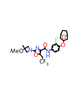 COC1(C)CN(c2nc(C(=O)Nc3ccc(OC4CC5CCC(C4)O5)c(F)c3)c(CC(F)(F)F)o2)C1